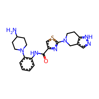 NC1CCN(c2ccccc2NC(=O)c2csc(N3CCc4[nH]ncc4C3)n2)CC1